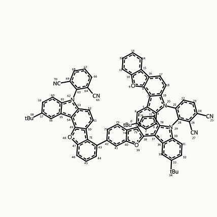 CC(C)(C)c1ccc2c(c1)c1c3oc4ccccc4c3ccc1n2-c1ccc(C#N)c(C#N)c1-n1c2ccc(C(C)(C)C)cc2c2c3oc4cc(-c5cccc6oc7c(ccc8c7c7cc(C(C)(C)C)ccc7n8-c7c(C#N)cccc7C#N)c56)ccc4c3ccc21